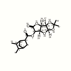 CC1C2CC(C(=O)OC3C(=O)O[C@@H]4[C@@H]5OC(C)(C)O[C@@H]5O[C@H]34)C(C2)C1C